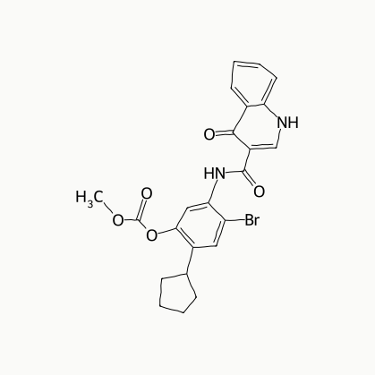 COC(=O)Oc1cc(NC(=O)c2c[nH]c3ccccc3c2=O)c(Br)cc1C1CCCC1